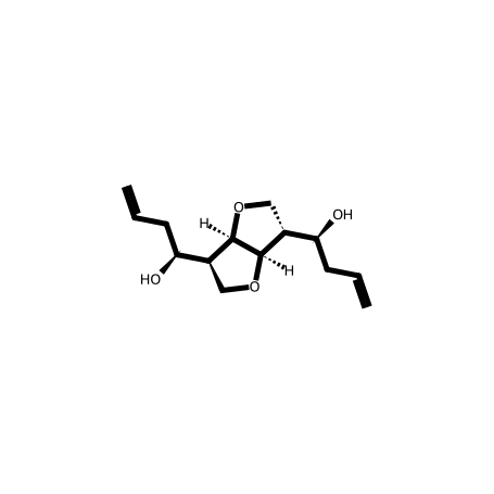 C=CC[C@H](O)[C@@H]1CO[C@@H]2[C@@H]([C@@H](O)CC=C)CO[C@H]12